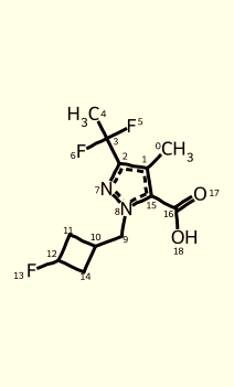 Cc1c(C(C)(F)F)nn(CC2CC(F)C2)c1C(=O)O